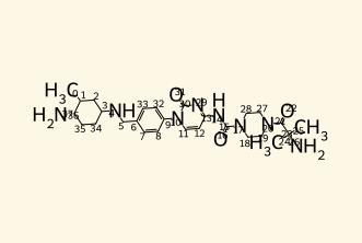 CC1CC(NCc2ccc(-n3ccc(NC(=O)N4CCN(C(=O)C(C)(C)N)CC4)nc3=O)cc2)CC[C@@H]1N